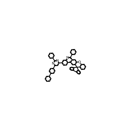 c1ccc(-c2ccc(-c3cc(-c4ccc5c(c4)nc(-c4ccccc4)c4cc6c(cc45)C4(c5ccccc5O6)c5ccccc5-c5ccccc54)nc(-c4ccccc4)n3)cc2)cc1